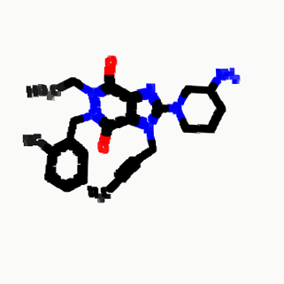 CC#CCn1c(N2CCCC(N)C2)nc2c(=O)n(CC(=O)O)n(Cc3ccccc3C#N)c(=O)c21